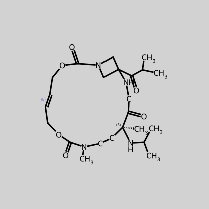 CC(C)N[C@@]1(C)CCN(C)C(=O)OC/C=C/COC(=O)N2CC(C(=O)C(C)C)(C2)NCC1=O